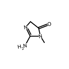 CN1C(=O)CN=C1N